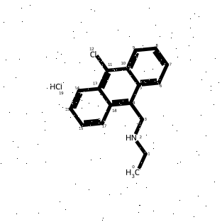 CCNCc1c2ccccc2c(Cl)c2ccccc12.Cl